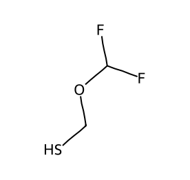 FC(F)OCS